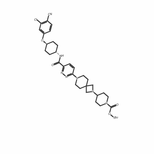 CC(C)(C)OC(=O)N1CCC(N2CC3(CCN(c4ccc(C(=O)N[C@H]5CC[C@H](Oc6ccc(C#N)c(Cl)c6)CC5)nn4)CC3)C2)CC1